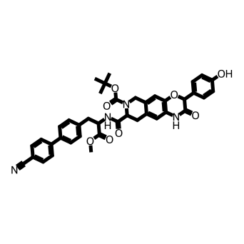 COC(=O)C(Cc1ccc(-c2ccc(C#N)cc2)cc1)NC(=O)C1Cc2cc3c(cc2CN1C(=O)OC(C)(C)C)OC(c1ccc(O)cc1)C(=O)N3